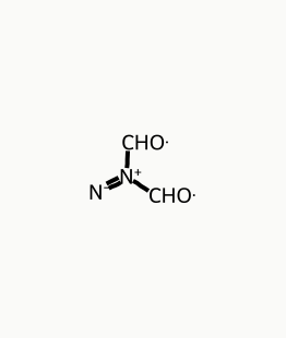 [N-]=[N+]([C]=O)[C]=O